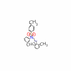 Cc1ccc(S(=O)(=O)N(C/C=C/c2ccccc2C)c2cccc(C=O)c2)cc1